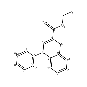 CCOC(=O)C1=CN(c2cnccn2)c2ccccc2C1